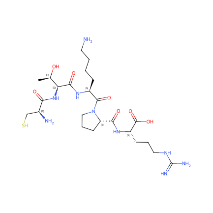 C[C@@H](O)[C@H](NC(=O)[C@@H](N)CS)C(=O)N[C@@H](CCCCN)C(=O)N1CCC[C@H]1C(=O)N[C@@H](CCCNC(=N)N)C(=O)O